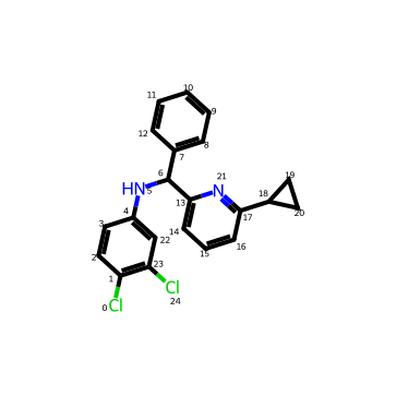 Clc1ccc(NC(c2ccccc2)c2cccc(C3CC3)n2)cc1Cl